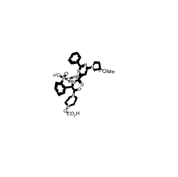 CCCCOP(=O)(O)c1ccccc1C(NC(=O)c1cc(N2CC[C@H](OC)C2)nc(-c2ccccc2)n1)C(=O)N1CCN(OC(=O)O)CC1